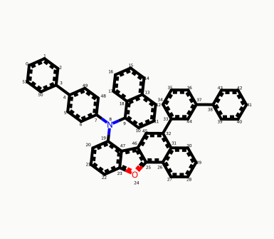 c1ccc(-c2ccc(N(c3cccc4ccccc34)c3cccc4oc5c6ccccc6c(-c6cccc(-c7ccccc7)c6)cc5c34)cc2)cc1